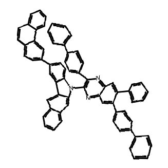 c1ccc(-c2ccc(-c3cc4nc(-n5c6ccc(-c7ccc8ccc9ccccc9c8c7)cc6c6cc7ccccc7cc65)c(-c5ccc(-c6ccccc6)cc5)nc4cc3-c3ccccc3)cc2)cc1